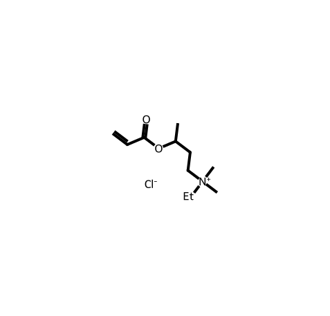 C=CC(=O)OC(C)CC[N+](C)(C)CC.[Cl-]